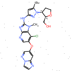 Cn1c(Nc2cc(C(C)(C)C)n([C@H]3CCO[C@H]3CO)n2)nc2ncc(Oc3cnn4ccnc4c3)c(Cl)c21